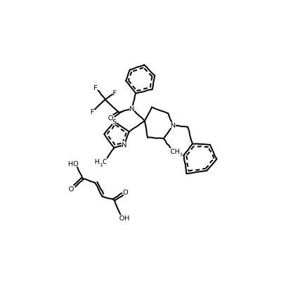 Cc1csc(C2(N(C(=O)C(F)(F)F)c3ccccc3)CCN(Cc3ccccc3)C(C)C2)n1.O=C(O)/C=C/C(=O)O